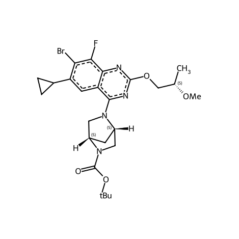 CO[C@@H](C)COc1nc(N2C[C@@H]3C[C@H]2CN3C(=O)OC(C)(C)C)c2cc(C3CC3)c(Br)c(F)c2n1